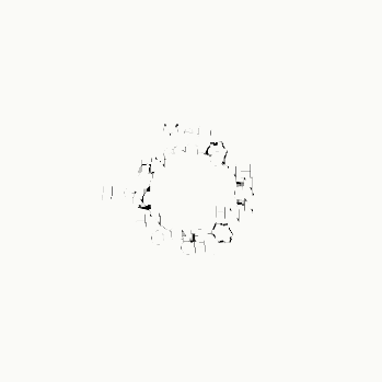 COc1ccc2cc1OCCNC(=O)c1cc(cn1C)NC(=O)CN(C)Cc1cccc(c1)Nc1cc(ncn1)N2